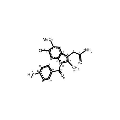 COc1cc2c(CC(N)=O)c(C)n(C(=O)c3ccc(C)cc3)c2cc1Cl